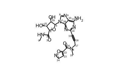 CNC(=O)C1OC(n2cnc3c(N)nc(C#CCN(C)C(=O)c4ccno4)nc32)[C@H](O)[C@@H]1O